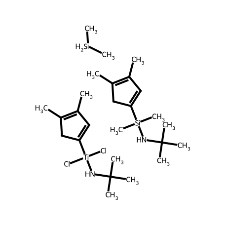 CC1=C(C)CC([Si](C)(C)NC(C)(C)C)=C1.CC1=C(C)C[C]([Ti]([Cl])([Cl])[NH]C(C)(C)C)=C1.C[SiH2]C